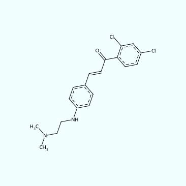 CN(C)CCNc1ccc(/C=C/C(=O)c2ccc(Cl)cc2Cl)cc1